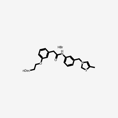 Br.CCCCCCCCCCCCOc1cccc(CC(=O)Nc2cccc(CN3C=C(C)SC3)c2)c1